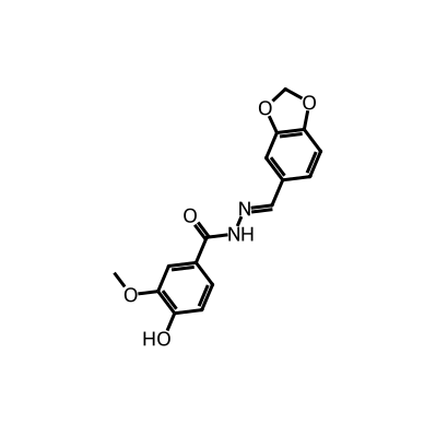 COc1cc(C(=O)NN=Cc2ccc3c(c2)OCO3)ccc1O